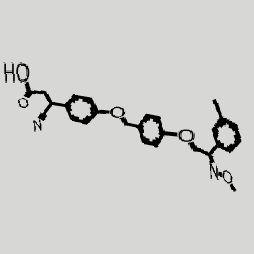 CO/N=C(/COc1ccc(COc2ccc(C(C#N)CC(=O)O)cc2)cc1)c1cccc(C)c1